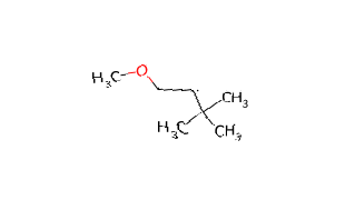 COC[CH]C(C)(C)C